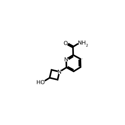 NC(=O)c1[c]ccc(N2CC(O)C2)n1